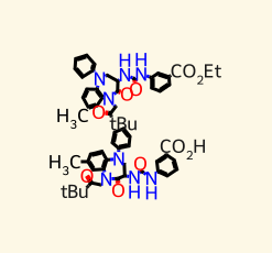 CCOC(=O)c1cccc(NC(=O)NC2CN(c3ccccc3)c3ccc(C)cc3N(CC(=O)C(C)(C)C)C2=O)c1.Cc1ccc2c(c1)N(CC(=O)C(C)(C)C)C(=O)C(NC(=O)Nc1cccc(C(=O)O)c1)CN2c1ccccc1